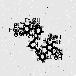 CCC(c1c(C)c(Cn2c(-c3cccc(-c4nc5ccccc5n4Cc4c(C)c(C(CC)P(=O)(O)O)c(C)c(C(CC)P(=O)(O)O)c4C)n3)nc3ccccc32)c(C)c(C(CC)P(=O)(O)O)c1C)P(=O)(O)O